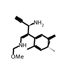 C#C[C@@H](N)C(=C/NCOC)/C(=C/C(=C)F)C(/C)=C\[C@@H](C)F